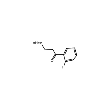 CCCCCCCCC(=O)c1ccccc1F